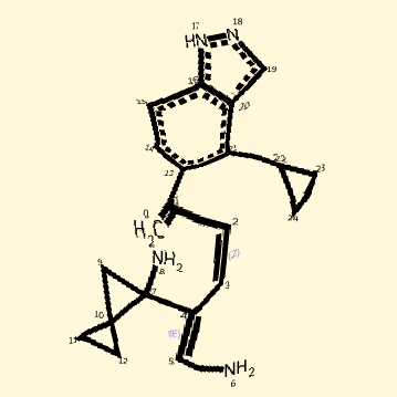 C=C(/C=C\C(=C/N)C1(N)CC12CC2)c1ccc2[nH]ncc2c1C1CC1